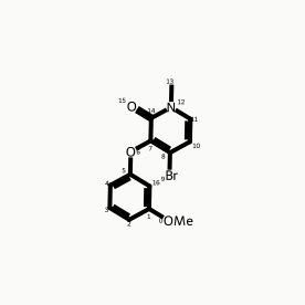 COc1cccc(Oc2c(Br)ccn(C)c2=O)c1